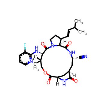 CC(C)/C=C/C1CCN2C(=O)[C@@H](Nc3ncccc3F)C(C)(C)COC(=O)[C@@H]3C[C@@H](C[C@@H](C#N)NC(=O)[C@H]12)C(=O)N3